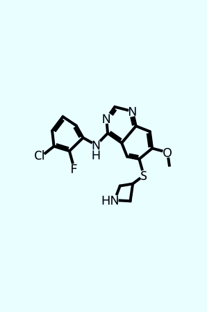 COc1cc2ncnc(Nc3cccc(Cl)c3F)c2cc1SC1CNC1